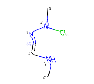 CN/C=N\N(C)Cl